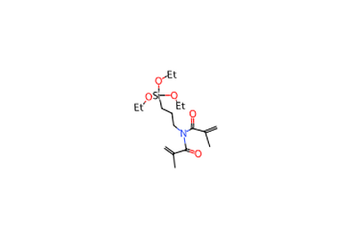 C=C(C)C(=O)N(CCC[Si](OCC)(OCC)OCC)C(=O)C(=C)C